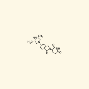 C[C@@H]1CN(c2ccc3c(c2)CN(C2CCC(=O)NC2=O)C3=O)C[C@H](C)N1